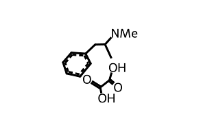 CNC(C)Cc1ccccc1.O=C(O)C(=O)O